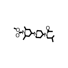 COC(=O)N1C(C)CC(N2CCC(N(CC(C)C)C(C)=O)CC2)CC1C